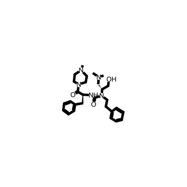 CN(C)C[C@H](CO)N(CCc1ccccc1)C(=O)N[C@@H](Cc1ccccc1)C(=O)N1CCN(C)CC1